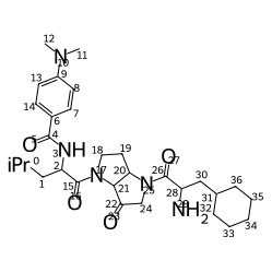 CC(C)CC(NC(=O)c1ccc(N(C)C)cc1)C(=O)N1CCC2C1C(=O)CN2C(=O)C(N)CC1CCCCC1